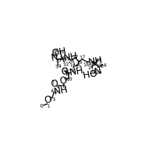 CCOCCNC(=O)COCC(=O)NCCC(CCNC(C)(C)/C(C)=N\O)CCNC(C)(C)/C(C)=N\O